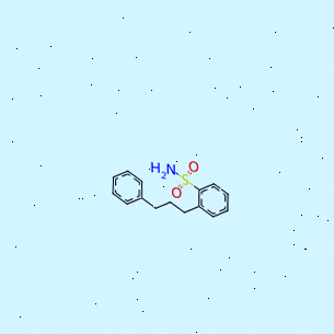 NS(=O)(=O)c1ccccc1CCCc1ccccc1